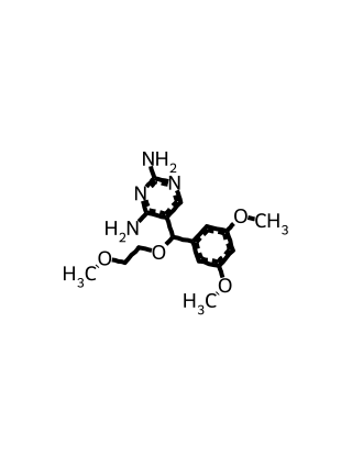 COCCOC(c1cc(OC)cc(OC)c1)c1cnc(N)nc1N